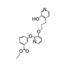 CCOC(=O)c1cccc(Oc2ncccc2OCCCc2ccncc2O)c1